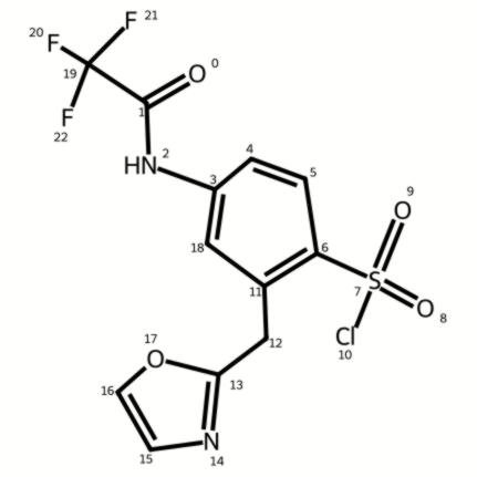 O=C(Nc1ccc(S(=O)(=O)Cl)c(Cc2ncco2)c1)C(F)(F)F